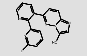 N#Cc1cnc2ccc(-c3cccnc3-c3cccc(F)n3)nn12